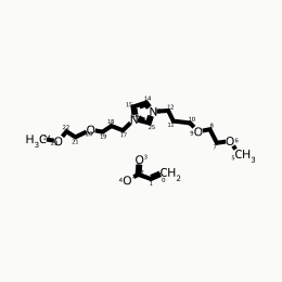 C=CC(=O)[O-].COCCOCCCn1cc[n+](CCCOCCOC)c1